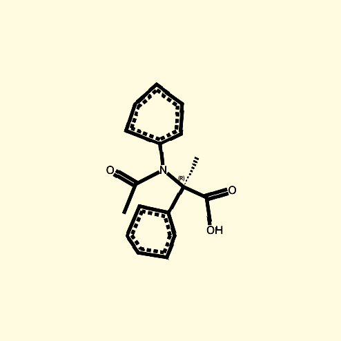 CC(=O)N(c1ccccc1)[C@@](C)(C(=O)O)c1ccccc1